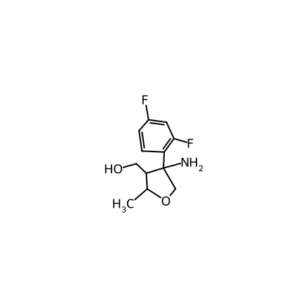 CC1OCC(N)(c2ccc(F)cc2F)C1CO